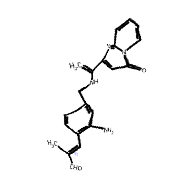 C=C(NCc1ccc(/C=C(\C)C=O)c(N)c1)c1cc(=O)n2ccccc2n1